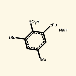 CC(C)(C)c1cc(C(C)(C)C)c(S(=O)(=O)O)c(C(C)(C)C)c1.[NaH]